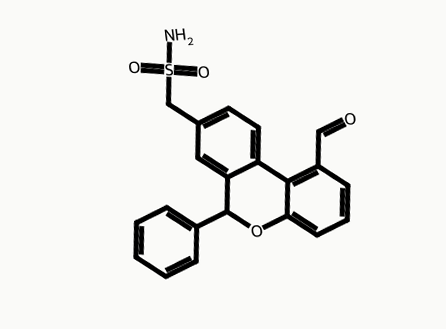 NS(=O)(=O)Cc1ccc2c(c1)C(c1ccccc1)Oc1cccc(C=O)c1-2